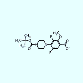 COc1c([N+](=O)[O-])cc(F)c(N2CCN(C(=O)OC(C)(C)C)CC2)c1F